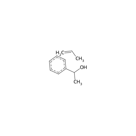 C=CC.CC(O)c1ccccc1